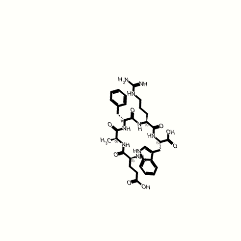 C[C@H](NC(=O)[C@@H](N)CCC(=O)O)C(=O)N[C@H](Cc1ccccc1)C(=O)N[C@@H](CCCNC(=N)N)C(=O)N[C@@H](Cc1c[nH]c2ccccc12)C(=O)O